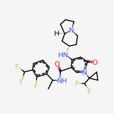 CC(NC(=O)c1cn(C2(C(F)F)CC2)c(=O)cc1N[C@H]1CCN2CCC[C@@H]2C1)c1cccc(C(F)F)c1F